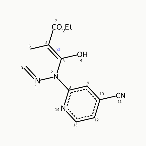 C=NN(/C(O)=C(\C)C(=O)OCC)c1cc(C#N)ccn1